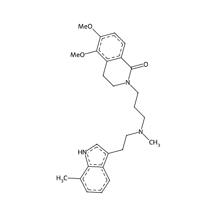 COc1ccc2c(c1OC)CCN(CCCN(C)CCc1c[nH]c3c(C)cccc13)C2=O